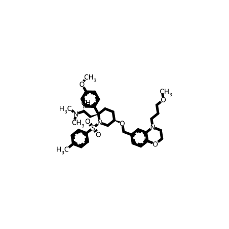 COCCCN1CCOc2ccc(CO[C@@H]3CC[C@@](C[C@@H](C)N(C)C)(c4ccc(OC)cc4)N(S(=O)(=O)c4ccc(C)cc4)C3)cc21